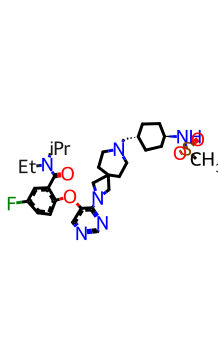 CCN(C(=O)c1cc(F)ccc1Oc1cncnc1N1CC2(CCN(C[C@H]3CC[C@H](NS(C)(=O)=O)CC3)CC2)C1)C(C)C